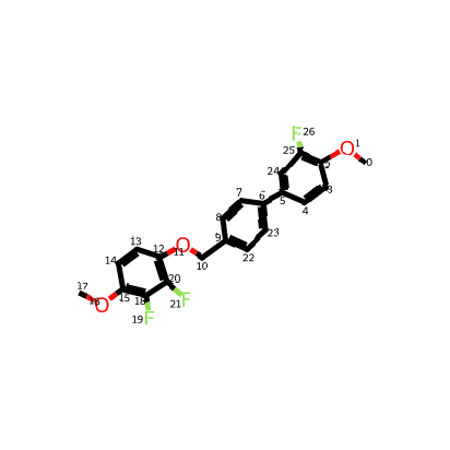 COc1ccc(-c2ccc(COc3ccc(OC)c(F)c3F)cc2)cc1F